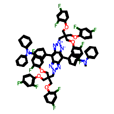 CN(c1ccccc1)c1ccc(-c2c3nn(CC(COc4ccc(F)cc4F)(COc4ccc(F)cc4F)COc4ccc(F)cc4F)nc3c(-c3ccc(N(c4ccccc4)c4ccccc4)cc3)c3n[n+](CC(COc4ccc(F)cc4F)(COc4ccc(F)cc4F)COc4ccc(F)cc4F)[n-]c23)cc1